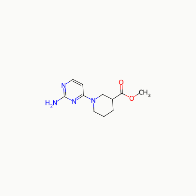 COC(=O)C1CCCN(c2ccnc(N)n2)C1